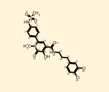 Cn1c(-c2ccc(NS(C)(=O)=O)cc2)cc(C(=O)NCCCc2ccc(Cl)c(Cl)c2)c(O)c1=O